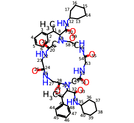 CC(c1ccccc1)C(C(=O)NC1CCCCC1)N1CC(=O)NCC(=O)NCC(=O)N(C(C(=O)NC2CCCCC2)C(C)c2ccccc2)CC(=O)NCC(=O)NCC1=O